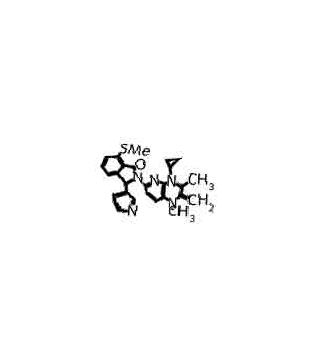 C=C1C(C)N(C2CC2)c2nc(N3C(=O)c4c(SC)cccc4C3c3cccnc3)ccc2N1C